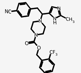 Cc1ncc(C(Cc2ccc(C#N)cc2)N2CCN(C(=O)OCc3ccccc3C(F)(F)F)CC2)[nH]1